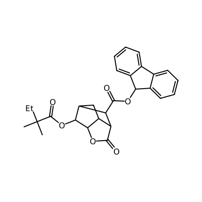 CCC(C)(C)C(=O)OC1C2CC3C1OC(=O)C3C2C(=O)OC1c2ccccc2-c2ccccc21